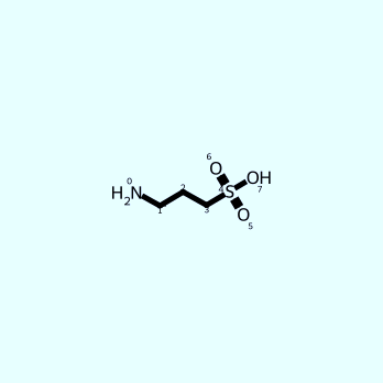 N[CH]CCS(=O)(=O)O